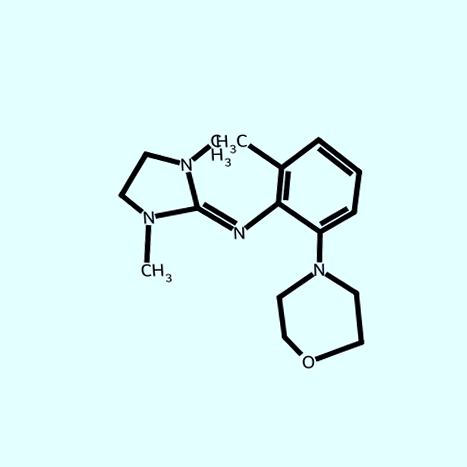 Cc1cccc(N2CCOCC2)c1N=C1N(C)CCN1C